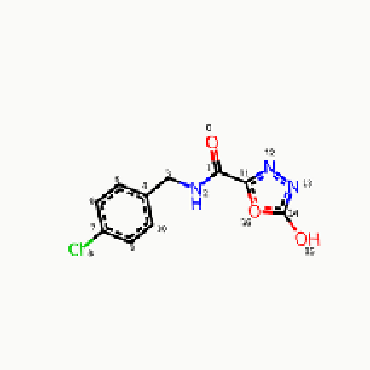 O=C(NCc1ccc(Cl)cc1)c1nnc(O)o1